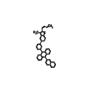 C=C/C=C\c1sc2ccc(-c3cccc(-c4c5ccccc5c(-c5ccc6ccccc6c5)c5ccccc45)c3)cc2c1C